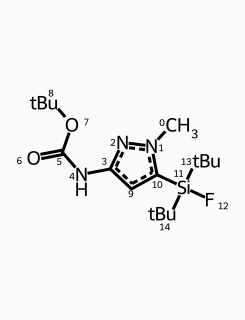 Cn1nc(NC(=O)OC(C)(C)C)cc1[Si](F)(C(C)(C)C)C(C)(C)C